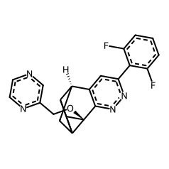 Fc1cccc(F)c1-c1cc2c(nn1)[C@@]1(OCc3cnccn3)C3C4[C@@H]2CC431